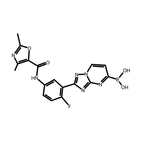 Cc1nc(C)c(C(=O)Nc2ccc(F)c(-c3nc4nc(B(O)O)ccn4n3)c2)o1